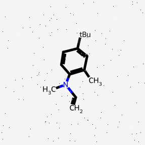 C=CN(C)c1ccc(C(C)(C)C)cc1C